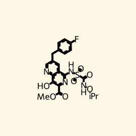 COC(=O)c1nc(NS(=O)(=O)C(=O)NOC(C)C)c2cc(Cc3ccc(F)cc3)cnc2c1O